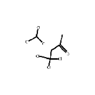 CC(=O)CC(Cl)(Cl)Cl.ClC(Cl)Cl